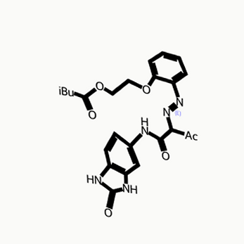 CCC(C)C(=O)OCCOc1ccccc1/N=N/C(C(C)=O)C(=O)Nc1ccc2[nH]c(=O)[nH]c2c1